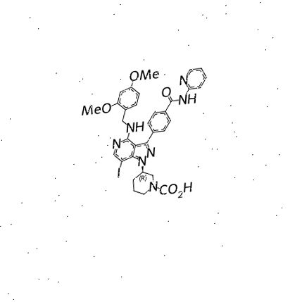 COc1ccc(CNc2ncc(I)c3c2c(-c2ccc(C(=O)Nc4ccccn4)cc2)nn3[C@@H]2CCCN(C(=O)O)C2)c(OC)c1